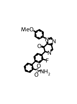 COc1ccc(-n2cnc3c2C(=O)C(c2ccc(-c4ccccc4S(N)(=O)=O)cc2F)N=C3)cc1